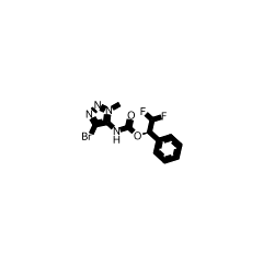 Cn1nnc(Br)c1NC(=O)O[C@@H](c1ccccc1)C(F)F